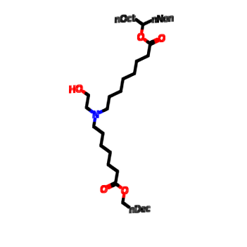 CCCCCCCCCCCOC(=O)CCCCCCN(CCO)CCCCCCCC(=O)OC(CCCCCCCC)CCCCCCCCC